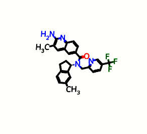 Cc1ccc2c(c1)[C@@H](N(Cc1ccc(C(F)(F)F)cn1)C(=O)c1ccc3nc(N)c(C)cc3c1)CC2